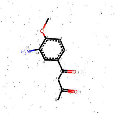 COc1ccc(C(=O)CC(C)=O)cc1N